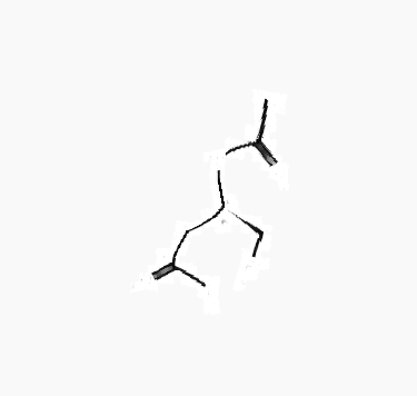 CC(=O)O[C@@H](CBr)CC(=O)Cl